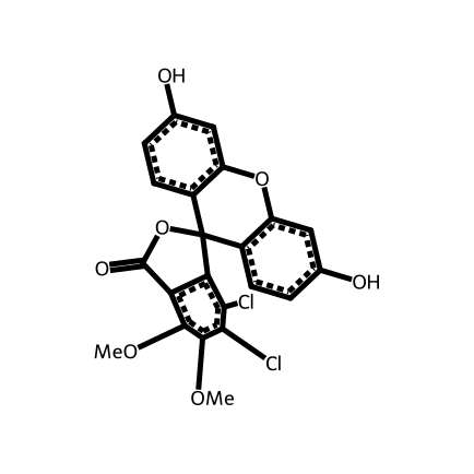 COc1c(Cl)c(Cl)c2c(c1OC)C(=O)OC21c2ccc(O)cc2Oc2cc(O)ccc21